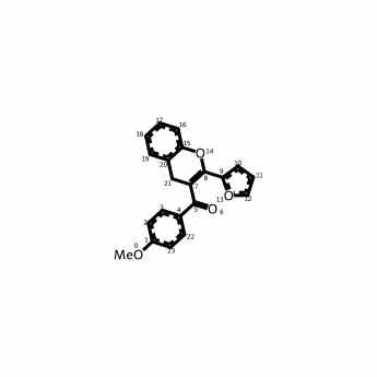 COc1ccc(C(=O)C2=C(c3ccco3)Oc3ccccc3C2)cc1